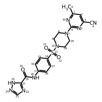 Cc1cc(C#N)nc(N2CCN(S(=O)(=O)c3ccc(NC(=O)c4ncn[nH]4)cc3)CC2)n1